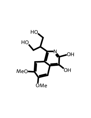 COc1cc2c(C(CO)CO)nc(O)c(O)c2cc1OC